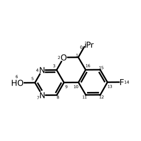 CC(C)C1Oc2nc(O)ncc2-c2ccc(F)cc21